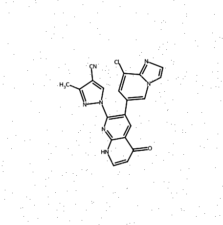 Cc1nn(-c2nc3[nH]ccc(=O)c3cc2-c2cc(Cl)c3nccn3c2)cc1C#N